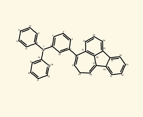 C1=C(c2cccc(N(c3ccccc3)c3ccccn3)c2)c2cccc3c2C(=CC1)c1ccccc1-3